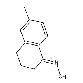 Cc1ccc2c(c1)CCC/C2=N\O